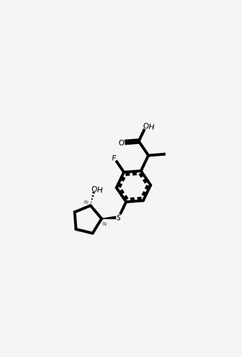 CC(C(=O)O)c1ccc(S[C@H]2CCC[C@@H]2O)cc1F